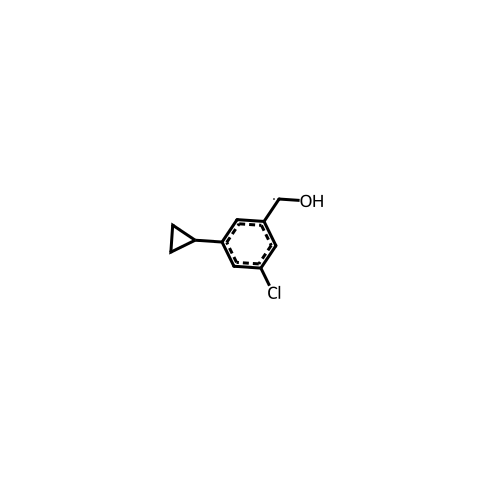 O[CH]c1cc(Cl)cc(C2CC2)c1